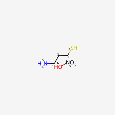 NCCCS.O=[N+]([O-])O